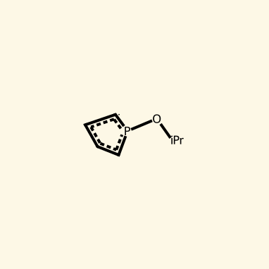 CC(C)Op1[c]ccc1